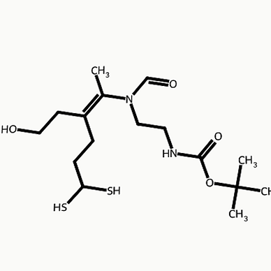 CC(=C(CCO)CCC(S)S)N(C=O)CCNC(=O)OC(C)(C)C